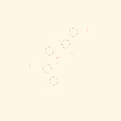 CC(COC(=O)c1cccc(C(=O)OCC(C)(c2ccc(O)cc2)c2ccc(O)cc2)c1)(c1ccc(O)cc1)c1ccc(O)cc1